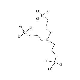 Cl[Si](Cl)(Cl)CCCB(CCC[Si](Cl)(Cl)Cl)CCC[Si](Cl)(Cl)Cl